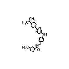 CC(C)C1CCN(c2ncc(Nc3ccc(CNC(=O)C4CCN(C)C4)cc3)cn2)CC1